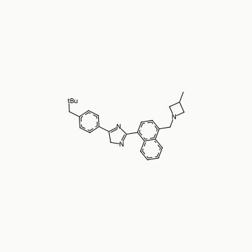 CC1CN(Cc2ccc(C3=NCC(c4ccc(CC(C)(C)C)cc4)=N3)c3ccccc23)C1